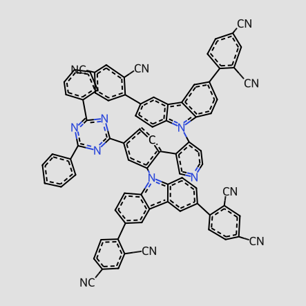 N#Cc1ccc(-c2ccc3c(c2)c2cc(-c4ccc(C#N)cc4C#N)ccc2n3-c2ccncc2-c2ccc(-c3nc(-c4ccccc4)nc(-c4ccccc4)n3)cc2-n2c3ccc(-c4ccc(C#N)cc4C#N)cc3c3cc(-c4ccc(C#N)cc4C#N)ccc32)c(C#N)c1